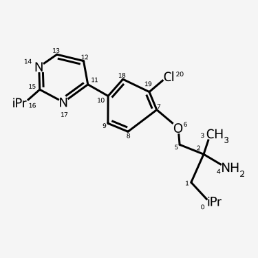 CC(C)CC(C)(N)COc1ccc(-c2ccnc(C(C)C)n2)cc1Cl